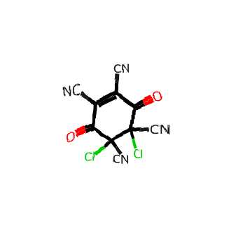 N#CC1=C(C#N)C(=O)C(Cl)(C#N)C(Cl)(C#N)C1=O